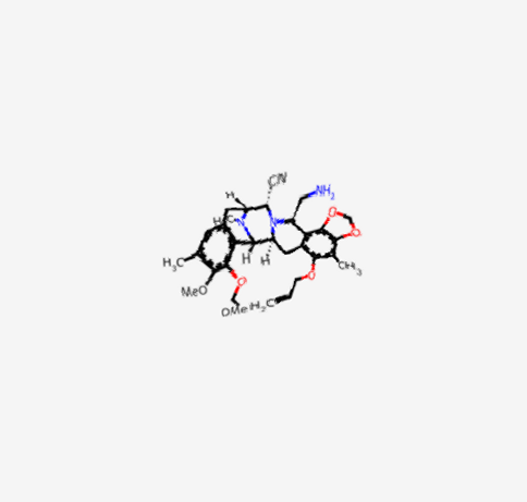 C=CCOc1c(C)c2c(c3c1C[C@H]1[C@@H]4c5c(cc(C)c(OC)c5OCOC)C[C@H]([C@H](C#N)N1[C@H]3CN)N4C)OCO2